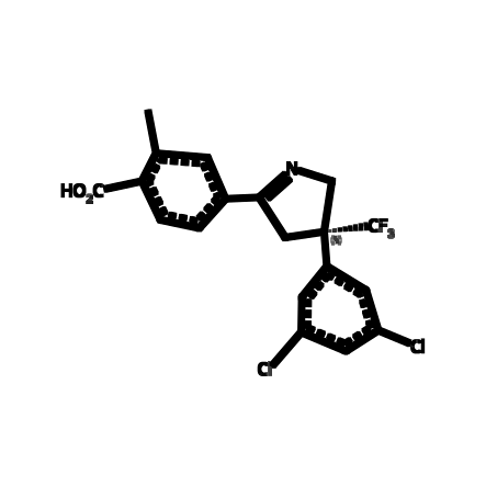 Cc1cc(C2=NC[C@](c3cc(Cl)cc(Cl)c3)(C(F)(F)F)C2)ccc1C(=O)O